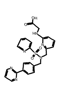 O=C(O)CNc1cccc(CN(Cc2ccc(-c3ncccn3)cc2)S(=O)(=O)c2ccccn2)n1